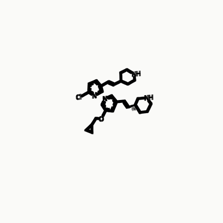 C(=C[C@@H]1CCCNC1)c1cncc(OCC2CC2)c1.Clc1ccc(C=CC2CCNCC2)cn1